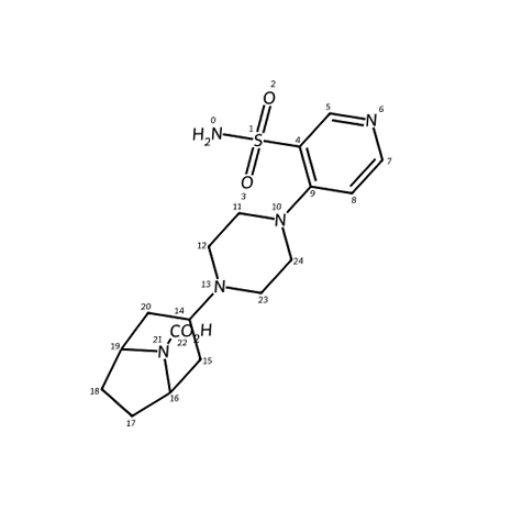 NS(=O)(=O)c1cnccc1N1CCN(C2CC3CCC(C2)N3C(=O)O)CC1